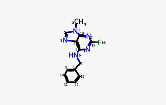 Cn1cnc2c(NCc3ccccc3)nc(F)nc21